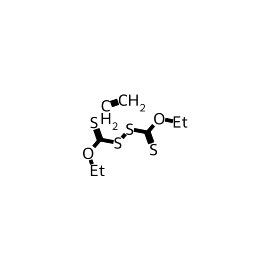 C=C.CCOC(=S)SSC(=S)OCC